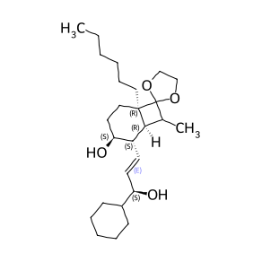 CCCCCC[C@@]12CC[C@H](O)[C@@H](/C=C/[C@@H](O)C3CCCCC3)[C@@H]1C(C)C21OCCO1